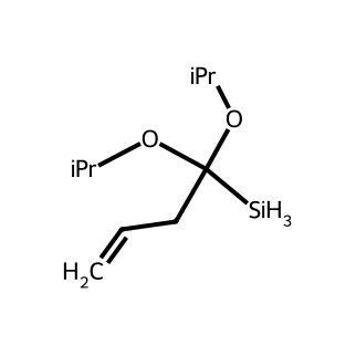 C=CCC([SiH3])(OC(C)C)OC(C)C